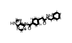 NN(Cc1ccccc1)C(=O)Cc1ccc(C(=O)Nc2ncnc3[nH]cnc23)cc1